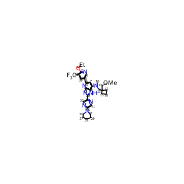 CCOc1ncc(-c2cc(N(C)CC3(COC)CCC3)c3[nH]c(-c4cnc(N5CCCCC5)cn4)nc3n2)cc1C(F)(F)F